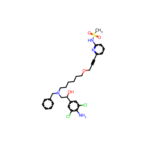 CS(=O)(=O)Nc1cccc(C#CCOCCCCCCN(Cc2ccccc2)CC(O)c2cc(Cl)c(N)c(Cl)c2)n1